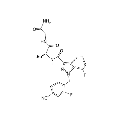 CC(C)(C)[C@H](NC(=O)c1nn(Cc2ccc(C#N)cc2F)c2c(F)cccc12)C(=O)NCC(N)=O